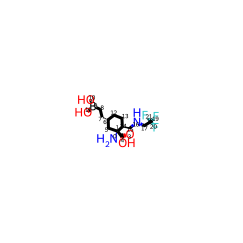 N[C@]1(C(=O)O)C[C@H](CCB(O)O)CC[C@H]1CNCC(F)(F)F